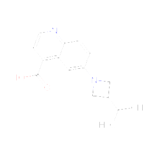 CC(C)C1CN(c2ccc3nccc(C(=O)O)c3c2)C1